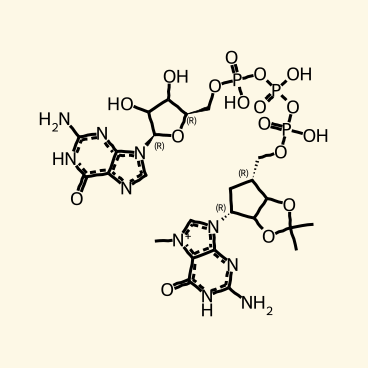 C[n+]1cn([C@@H]2C[C@H](COP(=O)(O)OP(=O)(O)OP(=O)(O)OC[C@H]3O[C@@H](n4cnc5c(=O)[nH]c(N)nc54)C(O)C3O)C3OC(C)(C)OC32)c2nc(N)[nH]c(=O)c21